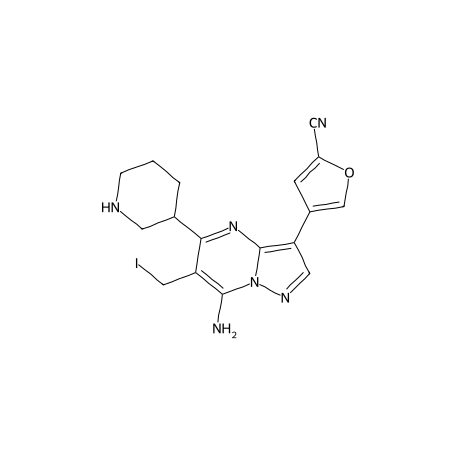 N#Cc1cc(-c2cnn3c(N)c(CI)c(C4CCCNC4)nc23)co1